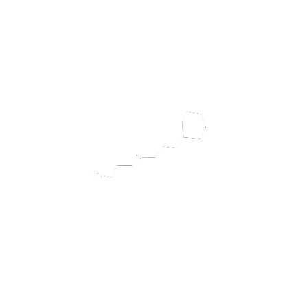 NCCCNCCCC1CCCCC1